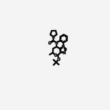 CC(C)CC1c2c(C(=O)OC(C)(C)C)ncn2-c2ccccc2N1C(=O)N1CCCC1